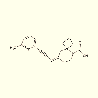 Cc1cccc(C#C/C=C2/CCN(C(=O)O)C3(CCC3)C2)n1